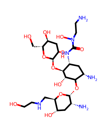 NCCN(O)C(=O)N[C@@H]1C[C@H](N)C(O[C@H]2O[C@H](CNCCO)[C@@H](O)C[C@H]2N)[C@H](O)[C@H]1O[C@H]1O[C@H](CO)[C@@H](O)C[C@H]1O